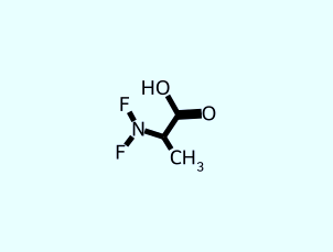 CC(C(=O)O)N(F)F